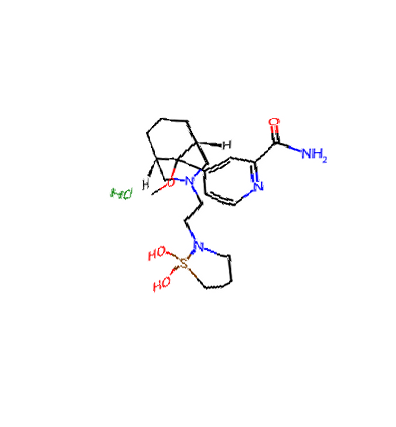 COC1(c2ccnc(C(N)=O)c2)[C@@H]2CCC[C@H]1CN(CCN1CCCS1(O)O)C2.Cl